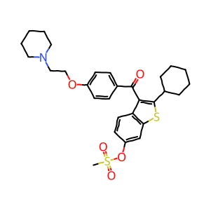 CS(=O)(=O)Oc1ccc2c(C(=O)c3ccc(OCCN4CCCCC4)cc3)c(C3CCCCC3)sc2c1